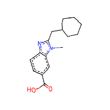 Cn1c(CC2CCCCC2)nc2ccc(C(=O)O)cc21